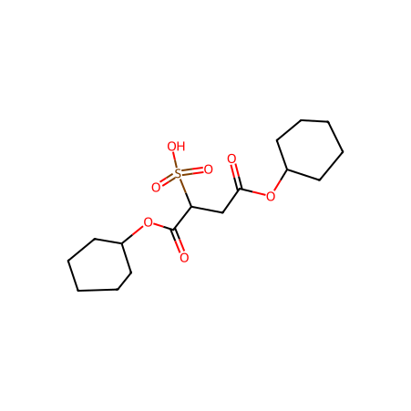 O=C(CC(C(=O)OC1CCCCC1)S(=O)(=O)O)OC1CCCCC1